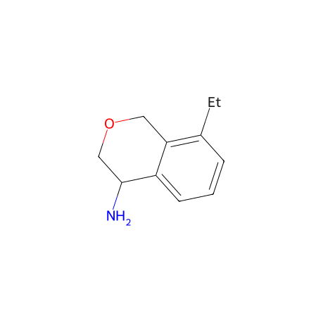 CCc1cccc2c1COCC2N